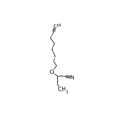 C#CCCCCCCOC(C#N)CC